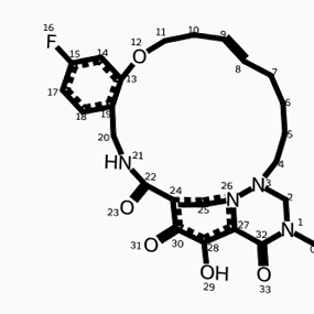 CN1CN2CCCC/C=C/CCOc3cc(F)ccc3CNC(=O)c3cn2c(c(O)c3=O)C1=O